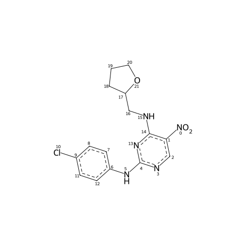 O=[N+]([O-])c1cnc(Nc2ccc(Cl)cc2)nc1NCC1CCCO1